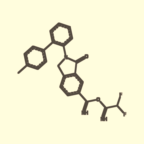 Cc1ccc(-c2ccccc2N2Cc3ccc(C(=N)OC(=N)C(F)F)cc3C2=O)cc1